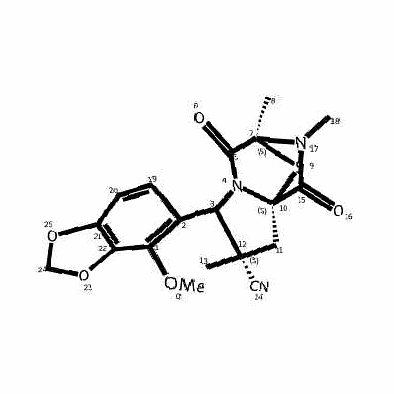 COc1c(C2N3C(=O)[C@]4(C)S[C@@]3(C[C@]2(C)C#N)C(=O)N4C)ccc2c1OCO2